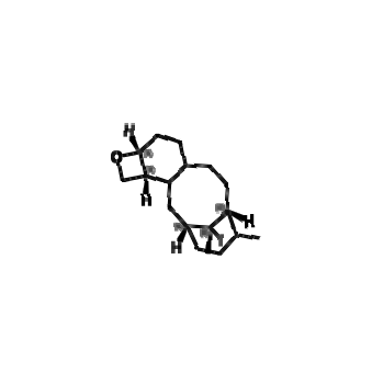 CC1CC[C@@H]2CC3C(CC[C@H]1[C@]2(C)I)CC[C@H]1OC[C@@H]31